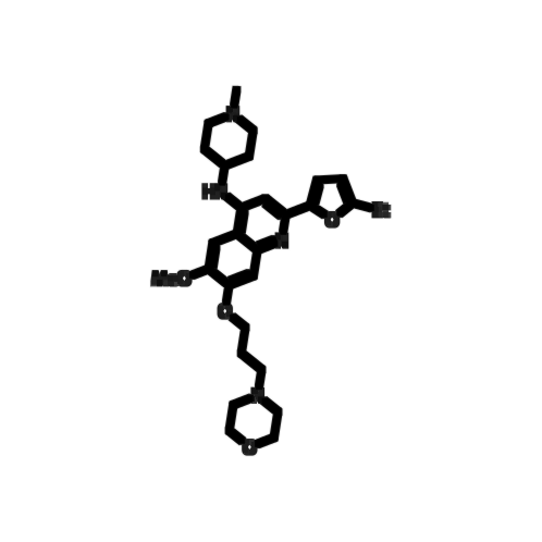 CCc1ccc(-c2cc(NC3CCN(C)CC3)c3cc(OC)c(OCCCN4CCOCC4)cc3n2)o1